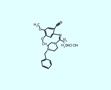 COc1cc(C#N)c(/N=C(/C)N2CCN(Cc3ccccc3)CC2)cc1OC.Cl.Cl.O